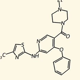 CCN1CCN(C(=O)c2cnc(Nc3nc(C)cs3)cc2Oc2ccccc2)CC1